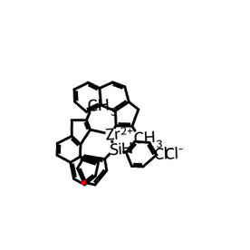 CC1=[C]([Zr+2]([C]2=C(C)Cc3ccc4ccccc4c32)[SiH](c2ccccc2)c2ccccc2)c2c(ccc3ccccc23)C1.[Cl-].[Cl-]